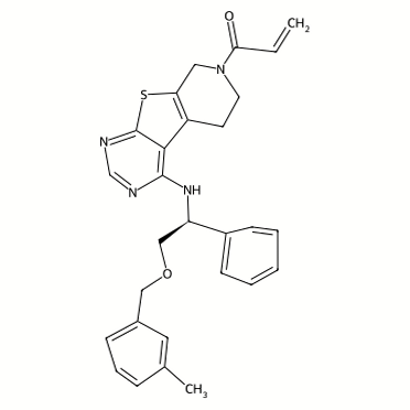 C=CC(=O)N1CCc2c(sc3ncnc(N[C@H](COCc4cccc(C)c4)c4ccccc4)c23)C1